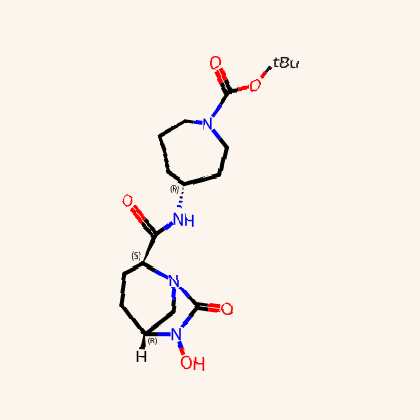 CC(C)(C)OC(=O)N1CCC[C@@H](NC(=O)[C@@H]2CC[C@@H]3CN2C(=O)N3O)CC1